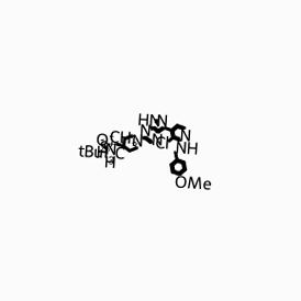 COc1ccc(CNc2nccc(-c3n[nH]c4nc(N5CCC(C)(C(C)N[S@+]([O-])C(C)(C)C)CC5)cnc34)c2Cl)cc1